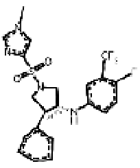 Cn1cnc(S(=O)(=O)N2C[C@H](Nc3ccc(F)c(C(F)(F)F)c3)[C@@H](c3ccccc3)C2)c1